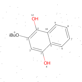 CC(C)COc1cc(O)c2ccccc2c1O